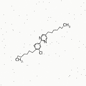 CCCCCCCc1cnc(-c2ccc(CCCCCCC)c(Cl)c2)nc1